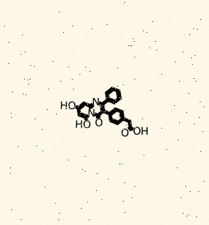 O=C(O)Cc1ccc(-c2c(-c3ccccc3)nc3cc(O)cc(O)n3c2=O)cc1